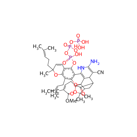 COC(=O)/C(C)=C\CC12OC(C)(C)C3CC(C1=O)C1C(C#N)=C(N)NC4=C1C32Oc1c(CC=C(C)C)c2c(c(OP(=O)(O)OP(=O)(O)OP(=O)(O)O)c14)C=CC(C)(CCC=C(C)C)O2